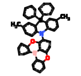 Cc1ccc2c(c1)[Si](c1ccccc1)(c1ccccc1)c1cc(C)ccc1N2c1ccc2c3c1Oc1ccccc1B3c1ccccc1O2